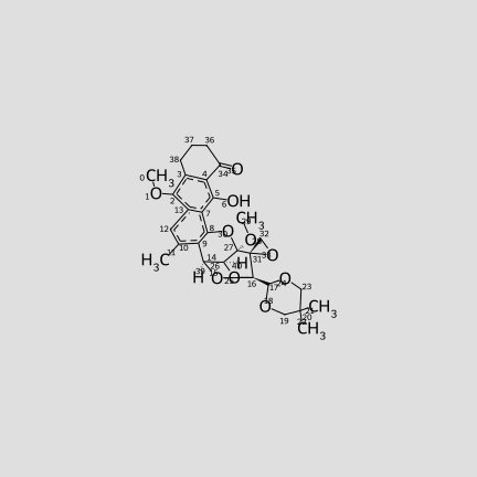 COc1c2c(c(O)c3c4c(c(C)cc13)[C@@H]1O[C@@]3(C5OCC(C)(C)CO5)O[C@@H]1[C@@](OC)(O4)[C@@]31CO1)C(=O)CCC2